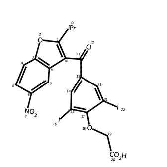 CC(C)c1oc2ccc([N+](=O)[O-])cc2c1C(=O)c1cc(I)c(OCC(=O)O)c(I)c1